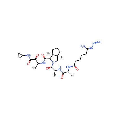 CCCC(NC(=O)C1[C@H]2CCC[C@H]2CN1C(=O)C(NC(=O)[C@H](NC(=O)CCCC/C(N)=N/N=N)C(C)C)C(C)C)C(=O)C(=O)NC1CC1